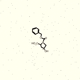 O=C(O)C1C[C@H](O)CN1C(=O)OCc1ccccc1